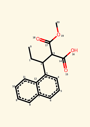 CCC(c1cccc2ccccc12)C(C(=O)O)C(=O)OC